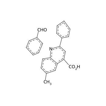 Cc1ccc2nc(-c3ccccc3)cc(C(=O)O)c2c1.O=Cc1ccccc1